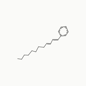 CCCCCCCCC=CC=Cc1ccccc1